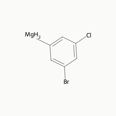 Cc1cc(Cl)cc(Br)c1.[MgH2]